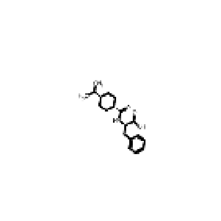 CC(C)[C@H]1CC[C@H](C(=O)NC(Cc2ccccc2)C(=O)O)CC1